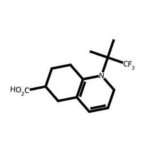 CC(C)(N1CC=CC2=C1CCC(C(=O)O)C2)C(F)(F)F